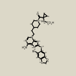 Nc1ncn(CCC2CCN(C(=O)C3(NC(=O)O)CC3)CC2)c2nc(Sc3cc4c(cc3Br)OCO4)nc1-2